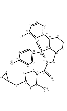 CC1CN(CC2CC2)CCN1C(=O)OCC1CCCC(c2cccc(F)c2)N1S(=O)(=O)c1ccc(Cl)cc1